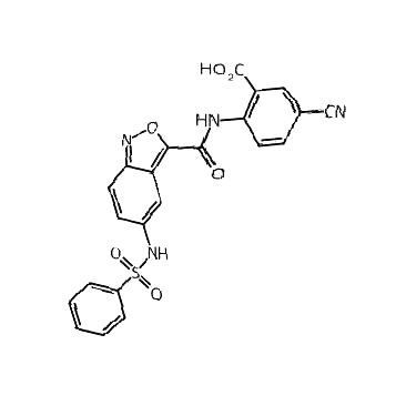 N#Cc1ccc(NC(=O)c2onc3ccc(NS(=O)(=O)c4ccccc4)cc23)c(C(=O)O)c1